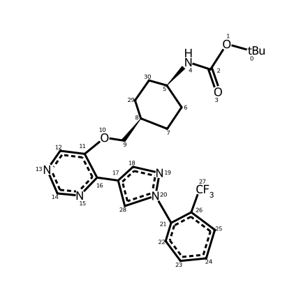 CC(C)(C)OC(=O)N[C@H]1CC[C@@H](COc2cncnc2-c2cnn(-c3ccccc3C(F)(F)F)c2)CC1